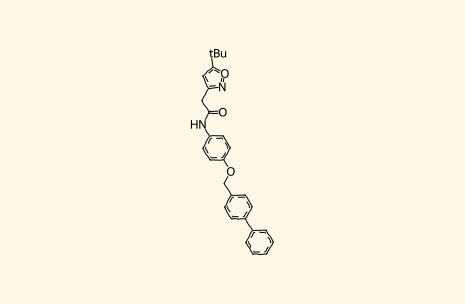 CC(C)(C)c1cc(CC(=O)Nc2ccc(OCc3ccc(-c4ccccc4)cc3)cc2)no1